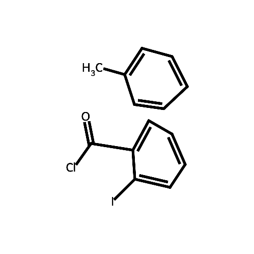 Cc1ccccc1.O=C(Cl)c1ccccc1I